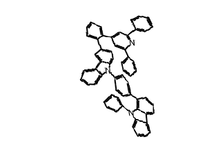 c1ccc(-c2cc(-c3ccccc3-c3ccc4c(c3)c3ccccc3n4-c3ccc(-c4cccc5c6ccccc6n(-c6ccccc6)c45)cc3)cc(-c3ccccc3)n2)cc1